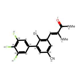 CCc1c(/C=C(\NC)C(=O)NC)cc(C#N)cc1-c1cc(F)c(F)c(F)c1